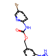 O=C(Nc1ccc(Br)cn1)OCc1cccc(-n2cn[nH]2)c1